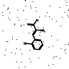 CCC(=O)/C(=C/c1ccccc1C#N)[N+](=O)[O-]